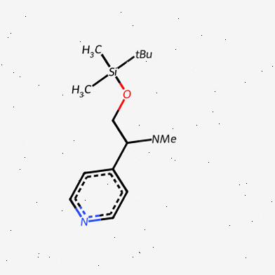 CNC(CO[Si](C)(C)C(C)(C)C)c1ccncc1